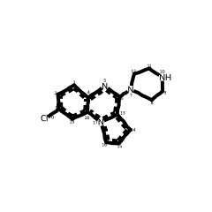 Clc1ccc2nc(N3CCNCC3)c3cccn3c2c1